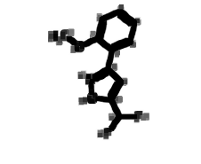 COc1ccccc1-c1cc(C(F)F)on1